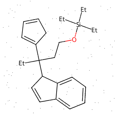 CCC(CCO[Si](CC)(CC)CC)(C1=CC=CC1)C1C=Cc2ccccc21